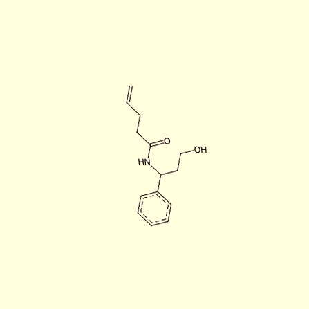 C=CCCC(=O)NC(CCO)c1ccccc1